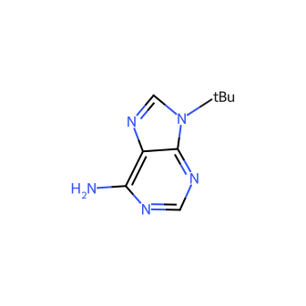 CC(C)(C)n1cnc2c(N)ncnc21